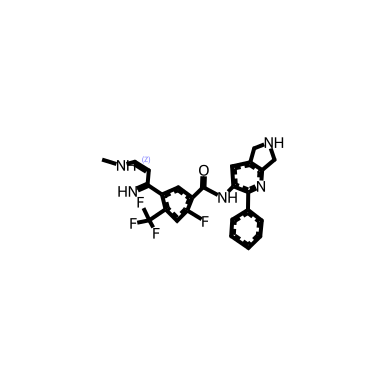 CN/C=C\C(=N)c1cc(C(=O)Nc2cc3c(nc2-c2ccccc2)CNC3)c(F)cc1C(F)(F)F